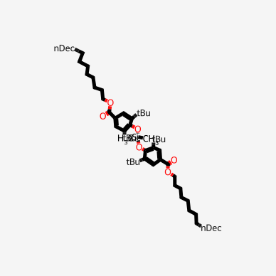 CCCCCCCCCCCCCCCCCCOC(=O)c1cc(C(C)(C)C)c(O[Si](C)(C)Oc2c(C(C)(C)C)cc(C(=O)OCCCCCCCCCCCCCCCCCC)cc2C(C)(C)C)c(C(C)(C)C)c1